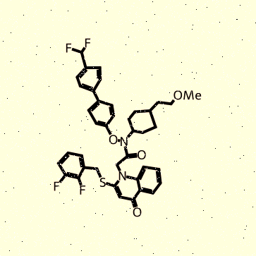 COCCC1CCC(N(Oc2ccc(-c3ccc(C(F)F)cc3)cc2)C(=O)Cn2c(SCc3cccc(F)c3F)cc(=O)c3ccccc32)CC1